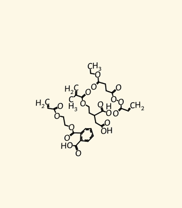 C=C(C)C(=O)OCCC(CC(=O)O)C(=O)O.C=CC(=O)OCCOC(=O)c1ccccc1C(=O)O.C=CC(=O)OOC(=O)CCC(=O)OCC